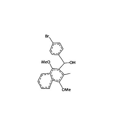 COc1c(C)c(C(O)c2ccc(Br)cc2)c(OC)c2ccccc12